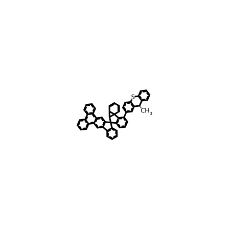 C[C@H]1c2ccccc2Sc2ccc(-c3cccc4c3C35C=CC=CC3C5C43c4ccccc4-c4cc5c6ccccc6c6ccccc6c5cc43)cc21